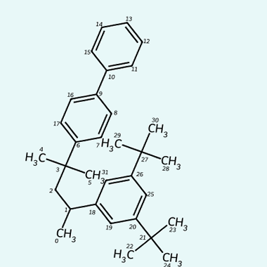 CC(CC(C)(C)c1ccc(-c2ccccc2)cc1)c1cc(C(C)(C)C)cc(C(C)(C)C)c1